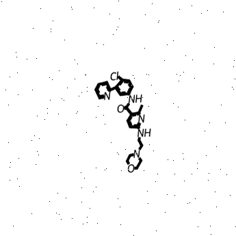 Cc1nc(NCCN2CCOCC2)ccc1C(=O)Nc1ccc(Cl)c(-c2ccccn2)c1